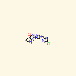 CN1CCCc2c1nc(N1CCN(Cc3ncc(Cl)cn3)CC1)[nH]c2=O